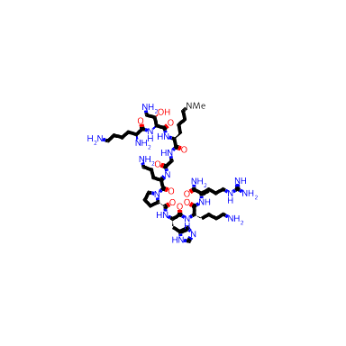 CNCCCC[C@H](NC(=O)[C@@H](NC(=O)[C@@H](N)CCCCN)[C@@H](O)CN)C(=O)NCC(=O)/N=C(\CCCN)C(=O)N1CCC[C@H]1C(=O)N[C@@H](Cc1cnc[nH]1)C(=O)N[C@@H](CCCCN)C(=O)N/C(=C\CCNC(=N)N)C(N)=O